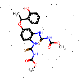 COC(=O)NC(=S)Nc1ccc(OC(C)c2ccccc2O)cc1NC(=S)NC(=O)OC